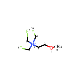 CC(C)(C)OCC[N+](CF)(CF)CF